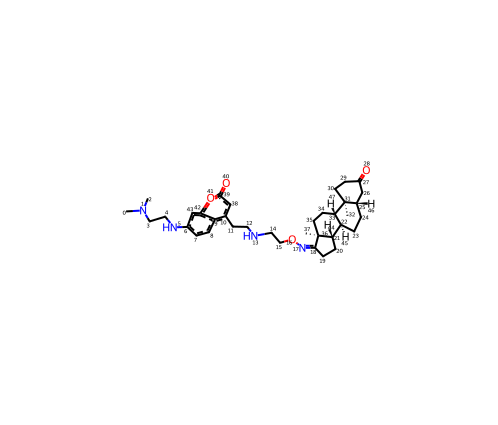 CN(C)CCNc1ccc2c(CCNCCO/N=C3/CC[C@H]4[C@@H]5CC[C@H]6CC(=O)CC[C@]6(C)[C@H]5CC[C@]34C)cc(=O)oc2c1